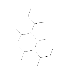 BCC(C)N(C(C)C)P(Cl)N(C(C)C)C(C)CC